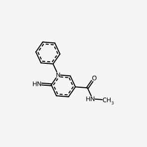 CNC(=O)c1ccc(=N)n(-c2ccccc2)c1